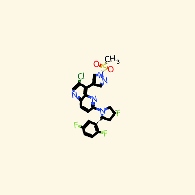 CS(=O)(=O)n1cc(-c2c(Cl)cnc3ccc(N4C[C@@H](F)C[C@@H]4c4cc(F)ccc4F)nc23)cn1